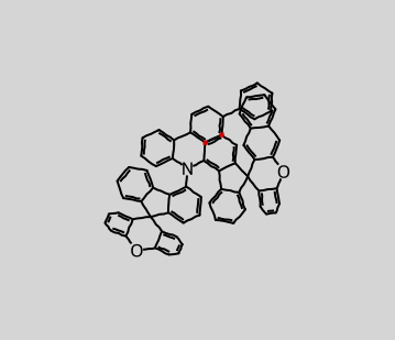 c1ccc(-c2ccc(-c3ccccc3N(c3cccc4c3-c3ccccc3C43c4ccccc4Oc4ccccc43)c3cccc4c3-c3ccccc3C43c4ccccc4Oc4cc5ccccc5cc43)cc2)cc1